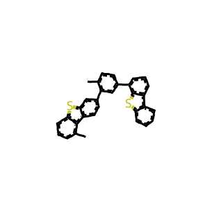 Cc1ccc(-c2cccc3c2sc2ccccc23)cc1-c1ccc2c(c1)sc1cccc(C)c12